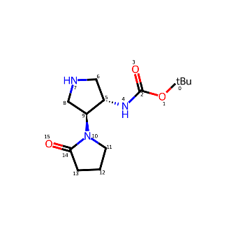 CC(C)(C)OC(=O)N[C@H]1CNC[C@@H]1N1CCCC1=O